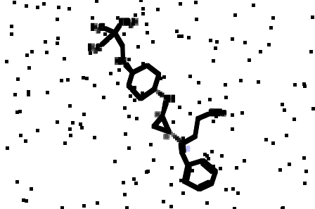 COCC/C(=C\c1ccccc1)[C@@H]1C[C@H]1N[C@H]1CC[C@H](NCC(C)(C)C(=O)O)CC1